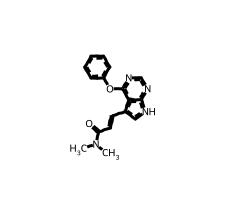 CN(C)C(=O)/C=C/c1c[nH]c2ncnc(Oc3ccccc3)c12